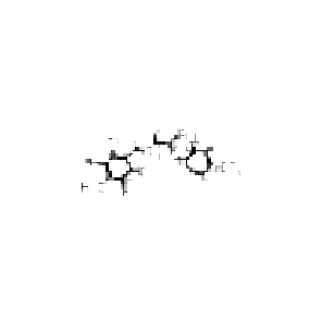 Cc1c(F)c(F)c(COC(=O)C(Nc2ccc(C(F)(F)F)cc2Cl)C(C)C)c(F)c1F